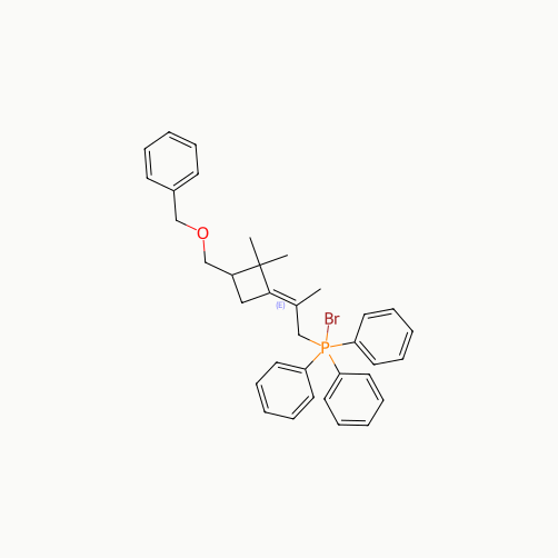 C/C(CP(Br)(c1ccccc1)(c1ccccc1)c1ccccc1)=C1/CC(COCc2ccccc2)C1(C)C